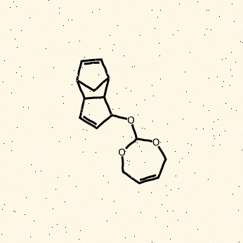 C1=CCOC(OC2C=CC3C4C=CC(C4)C23)OC1